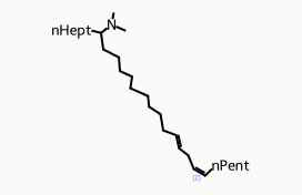 CCCCC/C=C\CC=CCCCCCCCCCC(CCCCCCC)N(C)C